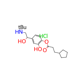 CC(C)(C)NCC(O)c1ccc(OC(=O)CCC2CCCC2)c(O)c1.Cl